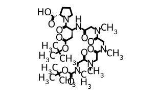 CN(CC(=O)N[C@@H](CC(=O)OC(C)(C)C)C(=O)N1CCC[C@H]1C(=O)O)C(=O)CN(C)C(=O)CN(C)C(=O)CN(C)C(=O)OC(C)(C)C